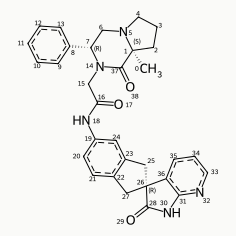 C[C@@]12CCCN1C[C@@H](c1ccccc1)N(CC(=O)Nc1ccc3c(c1)C[C@@]1(C3)C(=O)Nc3ncccc31)C2=O